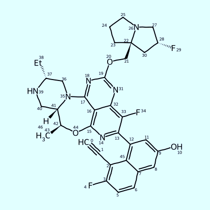 C#Cc1c(F)ccc2cc(O)cc(-c3nc4c5c(nc(OC[C@@]67CCCN6C[C@H](F)C7)nc5c3F)N3C[C@@H](CC)NC[C@H]3[C@H](C)O4)c12